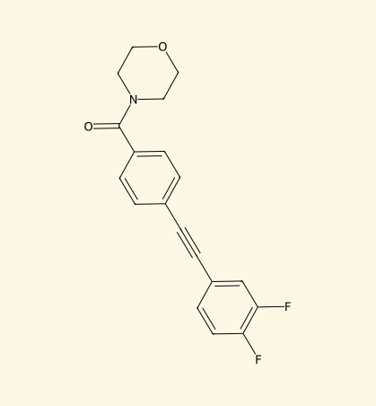 O=C(c1ccc(C#Cc2ccc(F)c(F)c2)cc1)N1CCOCC1